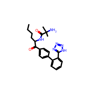 CCCCC(NC(=O)C(C)(C)N)C(=O)c1ccc(-c2ccccc2-c2nnn[nH]2)cc1